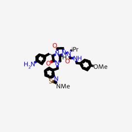 CNc1nc2c(CN3C[C@H]4N(C(=O)CN4N(C(=O)NCc4ccc(OC)cc4)C(C)C)[C@@H](Cc4ccc(N)cc4)C3=O)cccc2s1